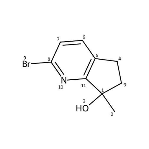 CC1(O)CCc2ccc(Br)nc21